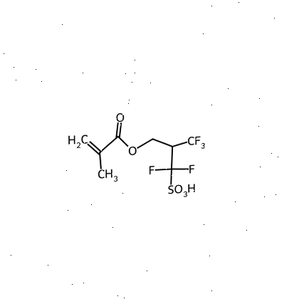 C=C(C)C(=O)OCC(C(F)(F)F)C(F)(F)S(=O)(=O)O